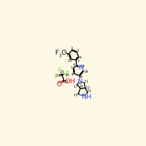 FC(F)(F)c1cccc(-c2ccc(N3CC4CNCC4C3)cn2)c1.O=C(O)C(F)(F)F